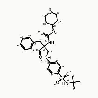 CC(C)(C)NS(=O)(=O)c1ccc(NC[C@@](C=O)(Cc2ccccc2)NC(=O)OC2CCOCC2)cc1